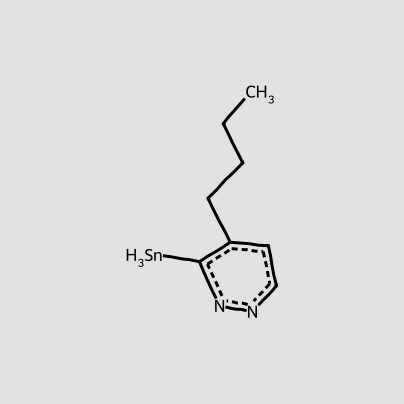 CCCCc1ccnn[c]1[SnH3]